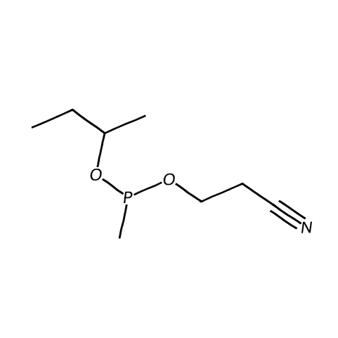 CCC(C)OP(C)OCCC#N